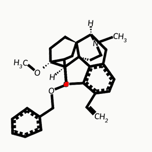 C=Cc1ccc2c3c1O[C@@H]1[C@]34CCN(C)[C@H](C2)[C@]42CC[C@@]1(OC)C(COCc1ccccc1)C2